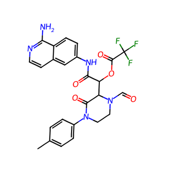 Cc1ccc(N2CCN(C=O)C(C(OC(=O)C(F)(F)F)C(=O)Nc3ccc4c(N)nccc4c3)C2=O)cc1